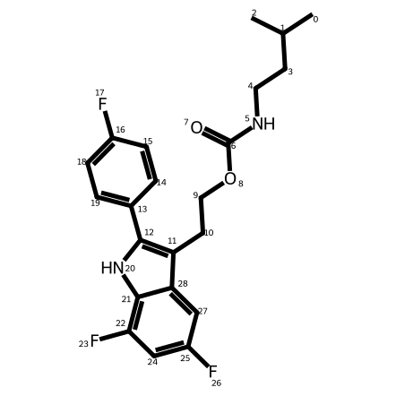 CC(C)CCNC(=O)OCCc1c(-c2ccc(F)cc2)[nH]c2c(F)cc(F)cc12